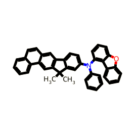 CC1(C)c2cc(N(c3ccccc3)c3cccc4oc5ccccc5c34)ccc2-c2cc3ccc4ccccc4c3cc21